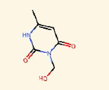 Cc1cc(=O)n(CO)c(=O)[nH]1